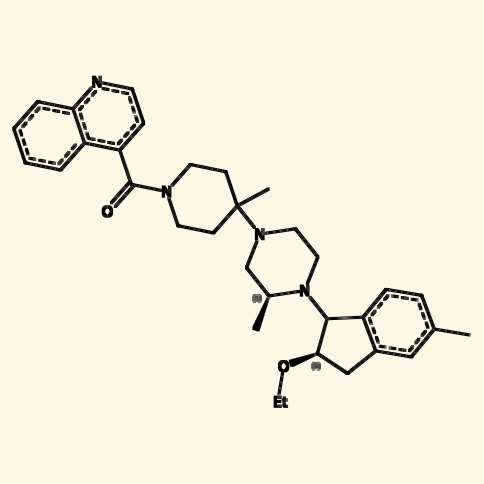 CCO[C@@H]1Cc2cc(C)ccc2C1N1CCN(C2(C)CCN(C(=O)c3ccnc4ccccc34)CC2)C[C@@H]1C